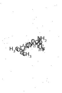 COc1ccc(N2CCN(C(=O)CC(OC(N)=O)c3ccc(F)cc3)CC2)cc1OC